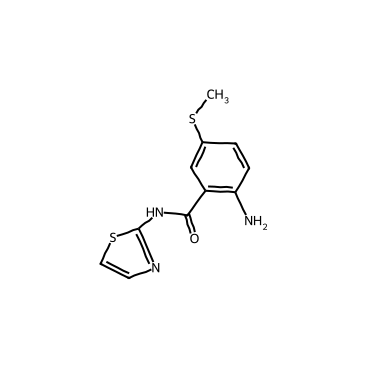 CSc1ccc(N)c(C(=O)Nc2nccs2)c1